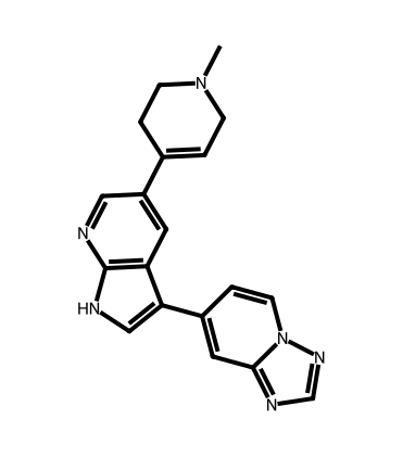 CN1CC=C(c2cnc3[nH]cc(-c4ccn5ncnc5c4)c3c2)CC1